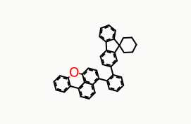 c1ccc2c(c1)Oc1ccc(-c3ccccc3-c3ccc4c(c3)C3(CCCCC3)c3ccccc3-4)c3cccc-2c13